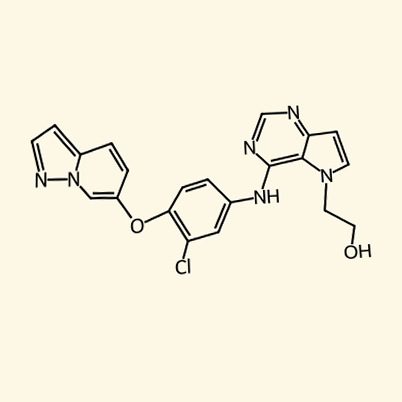 OCCn1ccc2ncnc(Nc3ccc(Oc4ccc5ccnn5c4)c(Cl)c3)c21